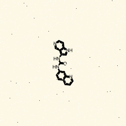 O=C(Nc1ccc2cccnc2c1)Nc1c[nH]c2ccncc12